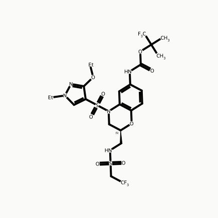 CCOc1nn(CC)cc1S(=O)(=O)N1C[C@H](CNS(=O)(=O)CC(F)(F)F)Oc2ccc(NC(=O)OC(C)(C)C(F)(F)F)cc21